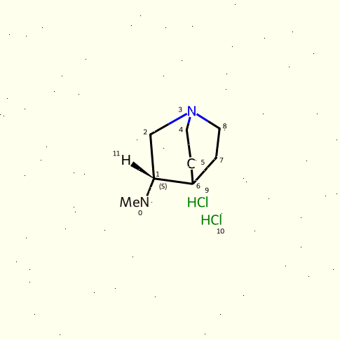 CN[C@@H]1CN2CCC1CC2.Cl.Cl